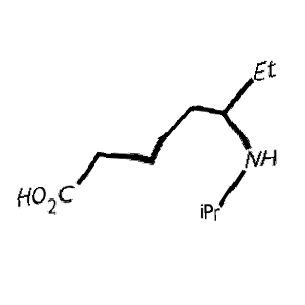 CCC(CCCC(=O)O)NC(C)C